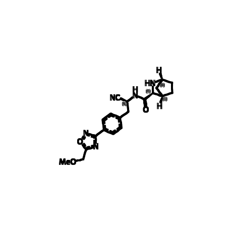 COCc1nc(-c2ccc(C[C@@H](C#N)NC(=O)[C@H]3N[C@@H]4CC[C@H]3C4)cc2)no1